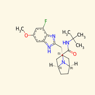 COc1cc(F)c2nc(C[C@@H]3C[C@H]4CC[C@@H](C3)N4CC(=O)NC(C)(C)C)[nH]c2c1